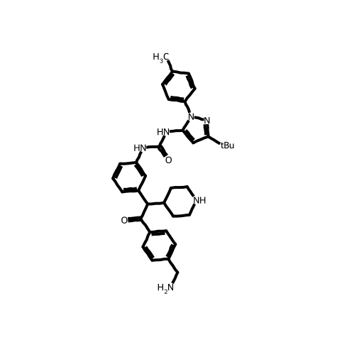 Cc1ccc(-n2nc(C(C)(C)C)cc2NC(=O)Nc2cccc(C(C(=O)c3ccc(CN)cc3)C3CCNCC3)c2)cc1